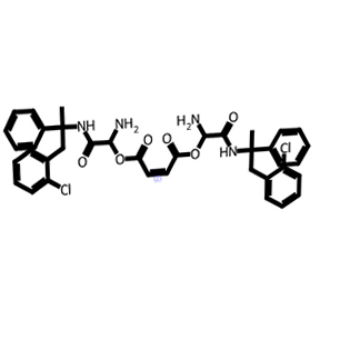 CC(Cc1ccccc1Cl)(NC(=O)C(N)OC(=O)/C=C\C(=O)OC(N)C(=O)NC(C)(Cc1ccccc1Cl)c1ccccc1)c1ccccc1